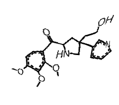 COc1ccc(C(=O)C2CC(CCO)(c3cccnc3)CN2)c(OC)c1OC